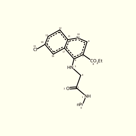 CCCNC(=O)CNc1c(C(=O)OCC)cnc2ccc(Cl)cc12